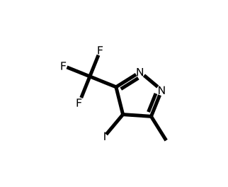 CC1=NN=C(C(F)(F)F)C1I